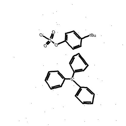 CC(C)(C)c1ccc(OS(=O)(=O)[O-])cc1.c1ccc([S+](c2ccccc2)c2ccccc2)cc1